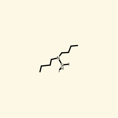 CCCCN(CCCC)[SiH](I)I